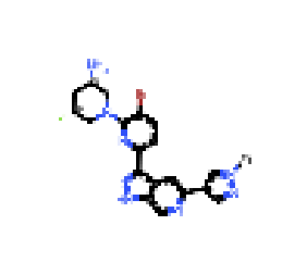 CCn1cc(-c2cc3c(-c4ccc(Br)c(N5C[C@H](N)C[C@@H](F)C5)n4)n[nH]c3cn2)cn1